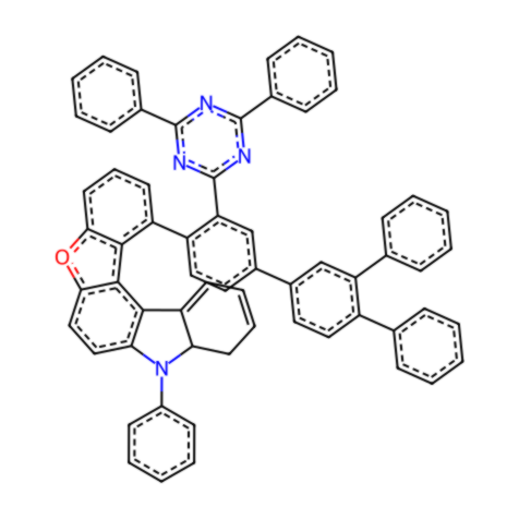 C1=CCC2C(=C1)c1c(ccc3oc4cccc(-c5ccc(-c6ccc(-c7ccccc7)c(-c7ccccc7)c6)cc5-c5nc(-c6ccccc6)nc(-c6ccccc6)n5)c4c13)N2c1ccccc1